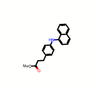 COC(=O)CCc1ccc(Nc2cccc3ccccc23)cc1